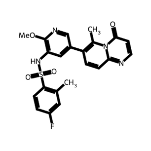 COc1ncc(-c2ccc3nccc(=O)n3c2C)cc1NS(=O)(=O)c1ccc(F)cc1C